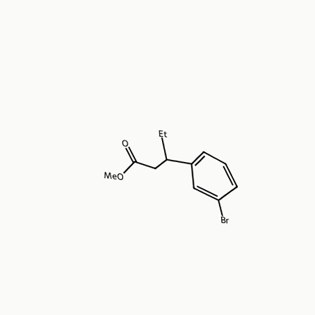 CCC(CC(=O)OC)c1cccc(Br)c1